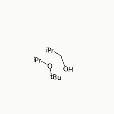 CC(C)CO.CC(C)OC(C)(C)C